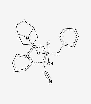 N#Cc1ccc(N2C3CCC2CC(OP(=O)(O)Oc2ccccc2)C3)c2ccccc12